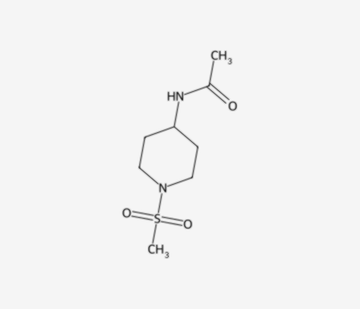 CC(=O)NC1CCN(S(C)(=O)=O)CC1